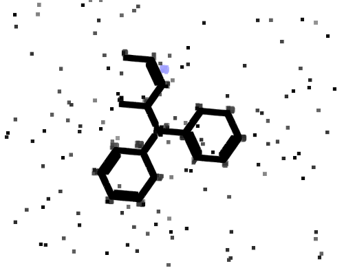 C/C=C\C(C)N(C1=CC=CCC1)C1C=CC=CC1